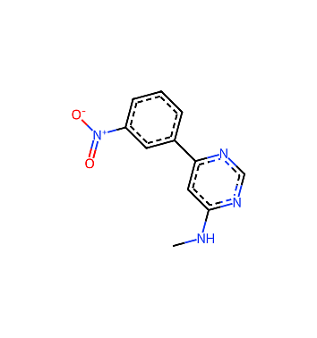 CNc1cc(-c2cccc([N+](=O)[O-])c2)ncn1